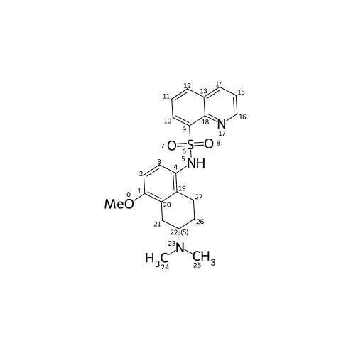 COc1ccc(NS(=O)(=O)c2cccc3cccnc23)c2c1C[C@@H](N(C)C)CC2